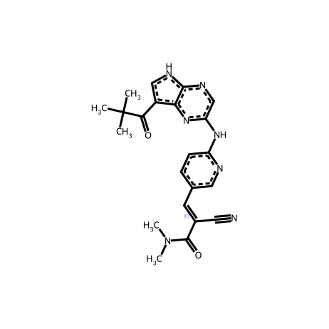 CN(C)C(=O)/C(C#N)=C/c1ccc(Nc2cnc3[nH]cc(C(=O)C(C)(C)C)c3n2)nc1